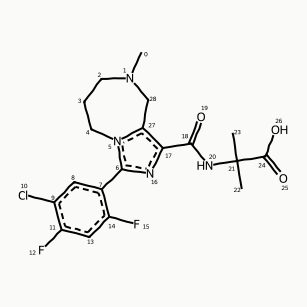 CN1CCCn2c(-c3cc(Cl)c(F)cc3F)nc(C(=O)NC(C)(C)C(=O)O)c2C1